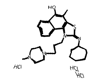 Cc1c(O)c2ccccc2c2c1s/c(=N/C1CCCCC1)n2CCCN1CCN(C)CC1.Cl.Cl.Cl